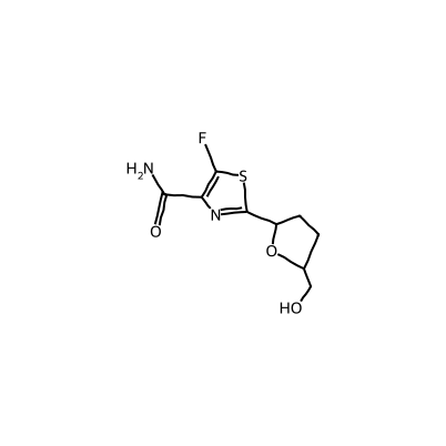 NC(=O)c1nc(C2CCC(CO)O2)sc1F